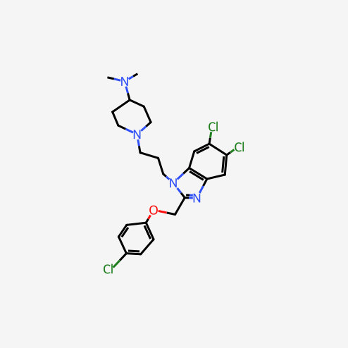 CN(C)C1CCN(CCCn2c(COc3ccc(Cl)cc3)nc3cc(Cl)c(Cl)cc32)CC1